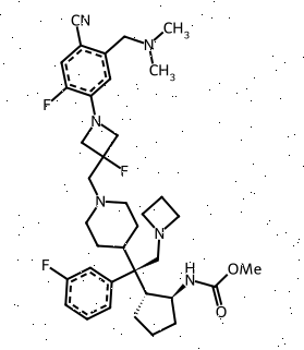 COC(=O)N[C@H]1CCC[C@@H]1[C@](CN1CCC1)(c1cccc(F)c1)C1CCN(CC2(F)CN(c3cc(CN(C)C)c(C#N)cc3F)C2)CC1